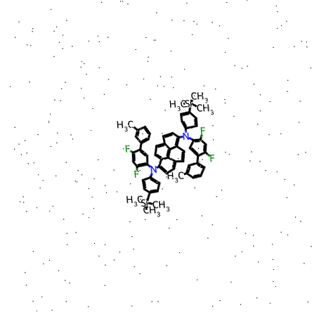 Cc1cccc(-c2cc(N(c3ccc([Si](C)(C)C)cc3)c3ccc4ccc5c(N(c6ccc([Si](C)(C)C)cc6)c6cc(-c7cccc(C)c7)c(F)cc6F)ccc6ccc3c4c65)c(F)cc2F)c1